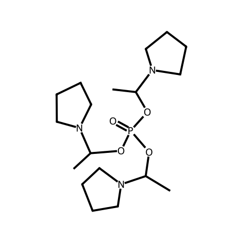 CC(OP(=O)(OC(C)N1CCCC1)OC(C)N1CCCC1)N1CCCC1